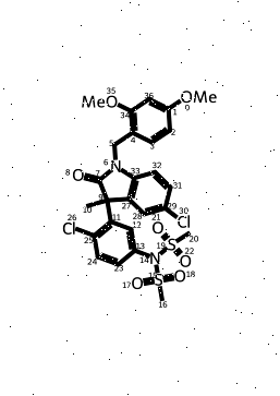 COc1ccc(CN2C(=O)C(C)(c3cc(N(S(C)(=O)=O)S(C)(=O)=O)ccc3Cl)c3cc(Cl)ccc32)c(OC)c1